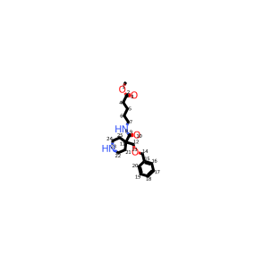 COC(=O)CCCCNC(=O)C1(COCc2ccccc2)CCNCC1